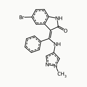 Cn1cc(N/C(=C2\C(=O)Nc3ccc(Br)cc32)c2ccccc2)cn1